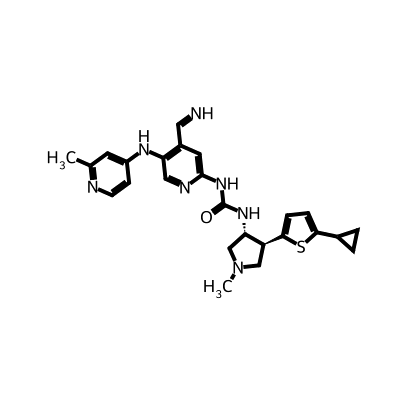 Cc1cc(Nc2cnc(NC(=O)N[C@H]3CN(C)C[C@@H]3c3ccc(C4CC4)s3)cc2C=N)ccn1